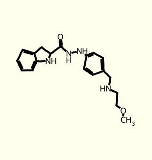 COCCNCc1ccc(NNC(=O)C2Cc3ccccc3N2)cc1